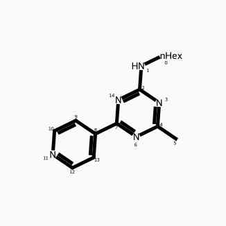 CCCCCCNc1nc(C)nc(-c2ccncc2)n1